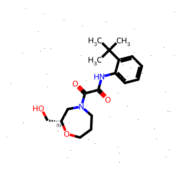 CC(C)(C)c1ccccc1NC(=O)C(=O)N1CCCO[C@H](CO)C1